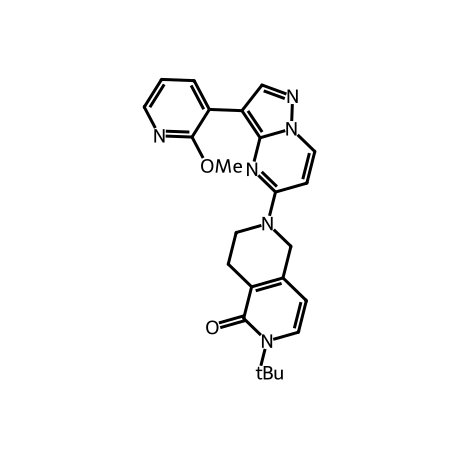 COc1ncccc1-c1cnn2ccc(N3CCc4c(ccn(C(C)(C)C)c4=O)C3)nc12